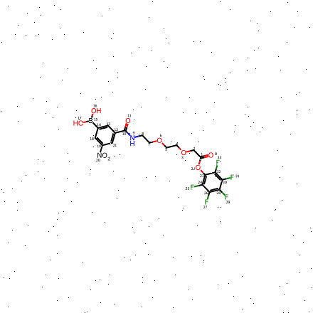 O=C(COCCOCCNC(=O)c1cc(B(O)O)cc([N+](=O)[O-])c1)Oc1c(F)c(F)c(F)c(F)c1F